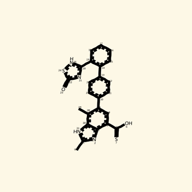 Cc1nc2c(C(O)=S)cc(-c3ccc(-c4ccccc4-c4nc(=O)s[nH]4)cc3)c(C)c2[nH]1